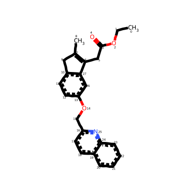 CCOC(=O)CC1=C(C)Cc2ccc(OCc3ccc4ccccc4n3)cc21